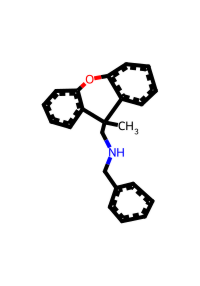 CC1(CNCc2ccccc2)c2ccccc2Oc2ccccc21